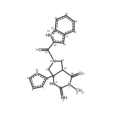 CN1C(=N)NC2(c3cccs3)CN(C(=O)c3cc4ccccc4[nH]3)CC2C1=O